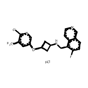 Cl.Fc1ccc2cnccc2c1CNC1CC(Oc2cnc(Cl)c(C(F)(F)F)c2)C1